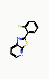 Fc1ccccc1-c1nc2cccnc2s1